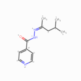 CC(CC(C)C)=NNC(=O)c1ccncc1